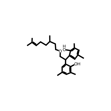 CC(C)=CCCC(C)CCOCC(c1cc(C)cc(C)c1O)c1cc(C)cc(C)c1O